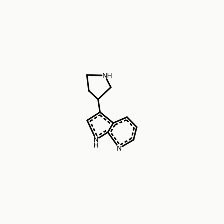 c1cnc2[nH]cc(C3CCNC3)c2c1